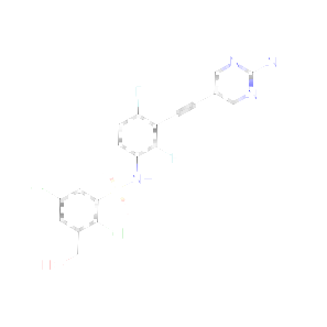 Nc1ncc(C#Cc2c(F)ccc(NS(=O)(=O)c3cc(Cl)cc(CO)c3Cl)c2F)cn1